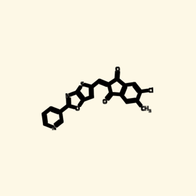 Cc1cc2c(cc1Cl)C(=O)/C(=C/c1cc3oc(-c4cccnc4)nc3s1)C2=O